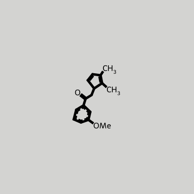 COc1cccc(C(=O)CC2C=CC(C)=C2C)c1